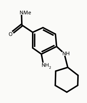 CNC(=O)c1ccc(NC2CCCCC2)c(N)c1